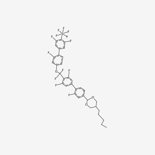 CCCCCC1COC(c2ccc(-c3cc(F)c(C(F)(F)Oc4ccc(-c5cc(F)c(S(F)(F)(F)(F)F)c(F)c5)c(F)c4)c(F)c3)c(F)c2)OC1